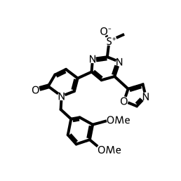 COc1ccc(Cn2cc(-c3cc(-c4cnco4)nc([S+](C)[O-])n3)ccc2=O)cc1OC